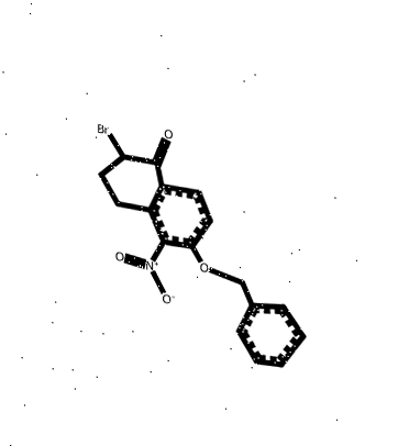 O=C1c2ccc(OCc3ccccc3)c([N+](=O)[O-])c2CCC1Br